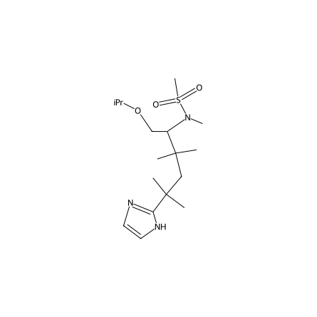 CC(C)OCC(N(C)S(C)(=O)=O)C(C)(C)CC(C)(C)c1ncc[nH]1